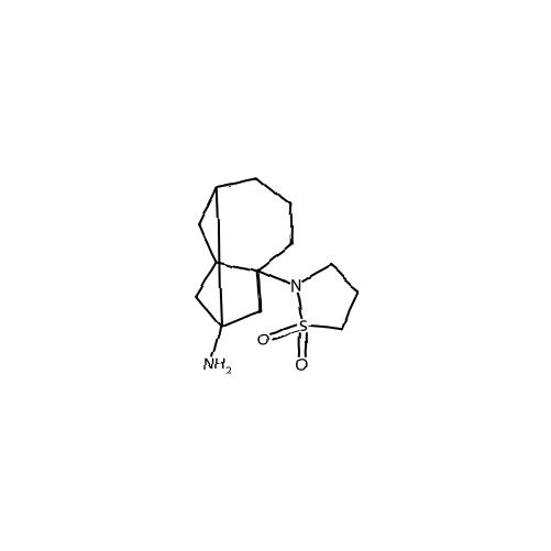 NC12CC3CC1CCCC3(N1CCCS1(=O)=O)C2